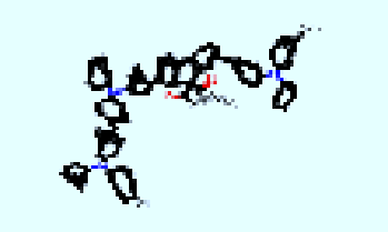 CCCCCCCC(=O)C1(C(=O)CCCCCCC)c2cc(-c3ccc(N(c4ccccc4)c4ccc(C)cc4)cc3)ccc2-c2ccc(-c3ccc(N(c4ccccc4)c4ccc(-c5ccc(N(c6ccccc6)c6ccc(C)cc6)cc5)cc4)cc3)cc21